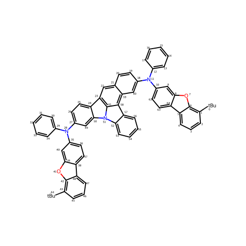 CC(C)(C)c1cccc2c1oc1cc(N(c3ccccc3)c3ccc4cc5c6ccc(N(c7ccccc7)c7ccc8c(c7)oc7c(C(C)(C)C)cccc78)cc6n6c7ccccc7c(c4c3)c56)ccc12